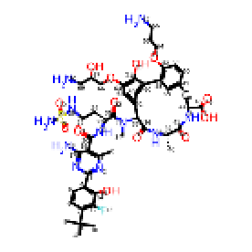 Cc1nc(-c2ccc(C(C)(C)C)c(F)c2O)nc(N)c1C(=O)N[C@@H](CCNS(N)(=O)=O)C(=O)N(C)[C@@H]1C(=O)N[C@@H](C)C(=O)N[C@H](C(=O)O)Cc2ccc(OCCCN)c(c2)-c2cc1cc(OC[C@H](O)CN)c2O